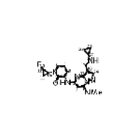 CNc1cc(Nc2cccn([C@@H]3C[C@H]3F)c2=O)nc2c(CNC3CC3)cnn12